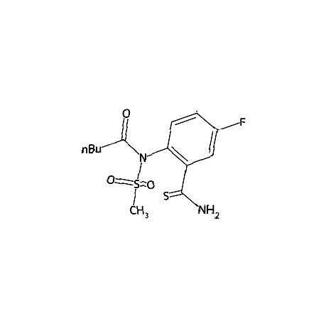 CCCCC(=O)N(c1c[c]c(F)cc1C(N)=S)S(C)(=O)=O